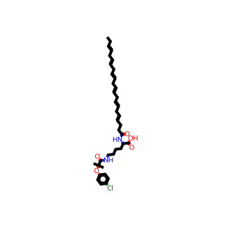 CCC=CCC=CCC=CCC=CCC=CCC=CCCC(=O)NC(CCCCNC(=O)C(C)(C)Oc1ccc(Cl)cc1)C(=O)O